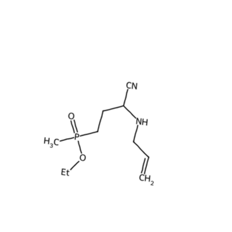 C=CCNC(C#N)CCP(C)(=O)OCC